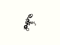 Nc1nc(-c2ccnc(Cl)c2)nc2sc(CN3CCOCC3)cc12